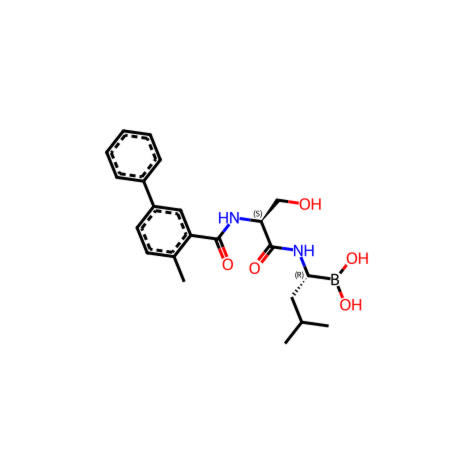 Cc1ccc(-c2ccccc2)cc1C(=O)N[C@@H](CO)C(=O)N[C@@H](CC(C)C)B(O)O